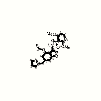 COc1ccnc(OC)c1S(=O)(=O)Nc1noc2cc(Cn3cccn3)cc(OCF)c12